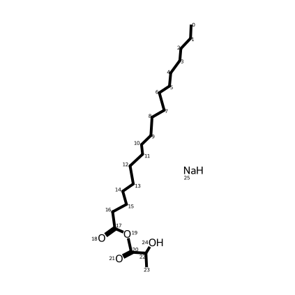 CCCCCCCCCCCCCCCCCC(=O)OC(=O)C(C)O.[NaH]